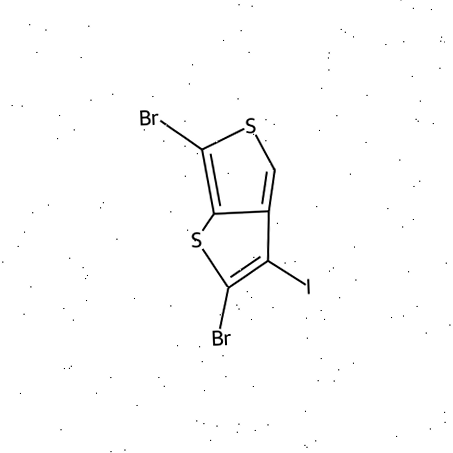 Brc1sc2c(Br)scc2c1I